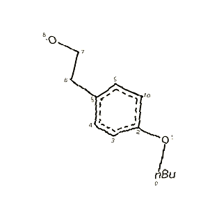 CCCCOc1ccc(CC[O])cc1